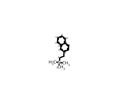 C[Si](C)(C)CCc1ccc2ccccc2c1